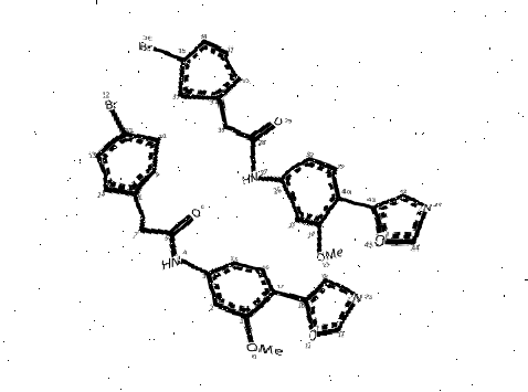 COc1cc(NC(=O)Cc2ccc(Br)cc2)ccc1-c1cnco1.COc1cc(NC(=O)Cc2cccc(Br)c2)ccc1-c1cnco1